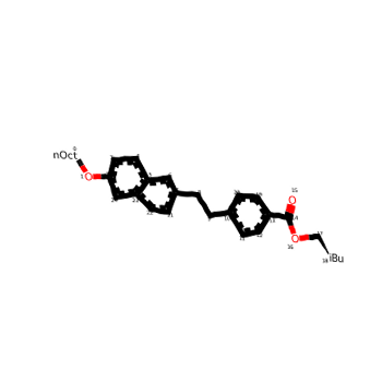 CCCCCCCCOc1ccc2cc(CCc3ccc(C(=O)OC[C@H](C)CC)cc3)ccc2c1